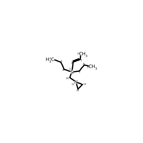 CC=C[Si](CCC)(CCC)CN1CC1